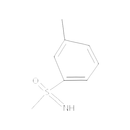 Cc1cccc(S(C)(=N)=O)c1